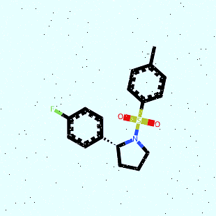 Cc1ccc(S(=O)(=O)N2CCC[C@@H]2c2ccc(F)cc2)cc1